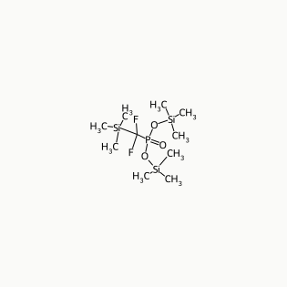 C[Si](C)(C)OP(=O)(O[Si](C)(C)C)C(F)(F)[Si](C)(C)C